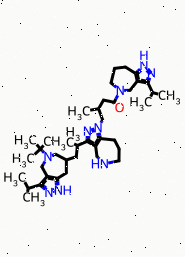 CC(CC(=O)N1CCCc2[nH]nc(C(C)C)c2C1)Cn1nc(C(C)CC2Cc3[nH]nc(C(C)C)c3CN(C(C)(C)C)C2)c2c1CCCNC2